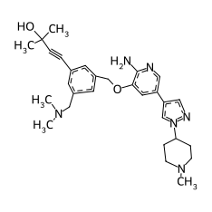 CN(C)Cc1cc(C#CC(C)(C)O)cc(COc2cc(-c3cnn(C4CCN(C)CC4)c3)cnc2N)c1